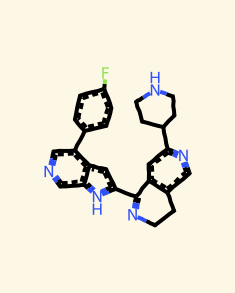 Fc1ccc(-c2cncc3[nH]c(C4=NCCc5cnc(C6CCNCC6)cc54)cc23)cc1